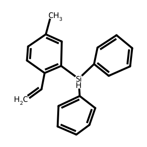 C=Cc1ccc(C)cc1[SiH](c1ccccc1)c1ccccc1